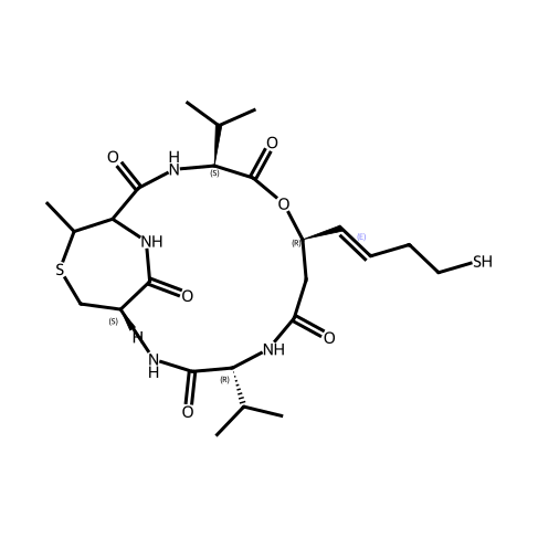 CC1SC[C@H]2NC(=O)[C@@H](C(C)C)NC(=O)C[C@H](/C=C/CCS)OC(=O)[C@H](C(C)C)NC(=O)C1NC2=O